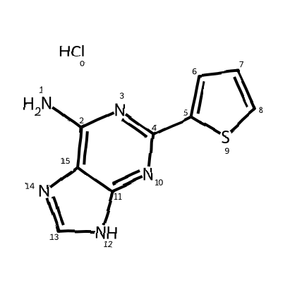 Cl.Nc1nc(-c2cccs2)nc2[nH]cnc12